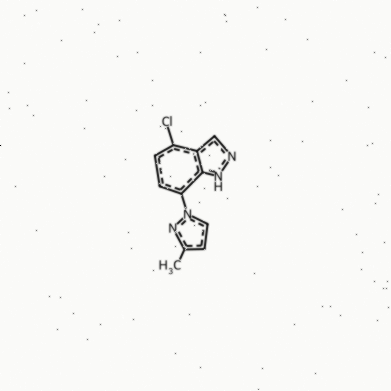 Cc1ccn(-c2ccc(Cl)c3cn[nH]c23)n1